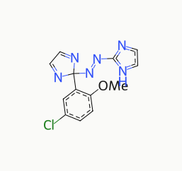 COc1ccc(Cl)cc1C1(N=Nc2ncc[nH]2)N=CC=N1